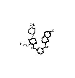 COc1nc(N2CCN(C)CC2)ccc1Nc1nccc(Nc2cnc3ccc(Cl)cc3c2)n1